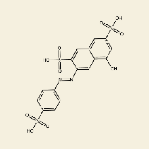 O=S(=O)(O)c1ccc(N=Nc2cc3c(O)cc(S(=O)(=O)O)cc3cc2S(=O)(=O)O)cc1